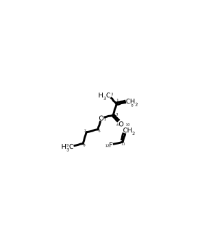 C=C(C)C(=O)OCCCC.C=CF